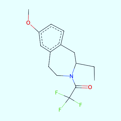 CCC1Cc2ccc(OC)cc2CCN1C(=O)C(F)(F)F